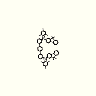 Cc1cc(C)c(N(c2cccc(-c3ccc(-c4cccc(N(c5ccc6c(c5)C(C)(C)c5ccccc5-6)c5c(C)cc(C)cc5C)c4)cc3)c2)c2ccc3c(c2)C(C)(C)c2ccccc2-3)c(C)c1